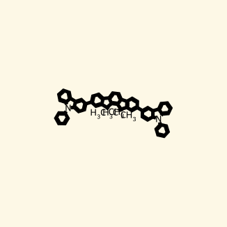 CC1(C)c2cc(C3=CC4c5ccccc5N(c5ccccc5)C4C=C3)ccc2-c2ccc3c(c21)C(C)(C)c1cc(-c2ccc4c(c2)c2ccccc2n4-c2ccccc2)ccc1-3